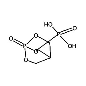 O=P12OCC(CO1)C(P(=O)(O)O)O2